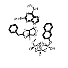 CCCNc1nc(SC)nc2c1ncn2[C@@H]1O[C@H](COP(=O)(O)OP(=O)(O)OP(=O)(O)Oc2ccc3ccccc3c2)[C@@H]2OC(Cc3ccccc3)OC21